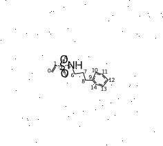 C=CS(=O)(=O)NCCCc1ccccc1